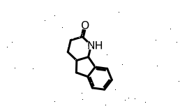 O=C1CCC2Cc3ccccc3C2N1